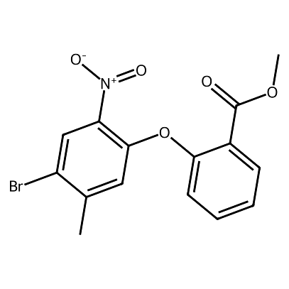 COC(=O)c1ccccc1Oc1cc(C)c(Br)cc1[N+](=O)[O-]